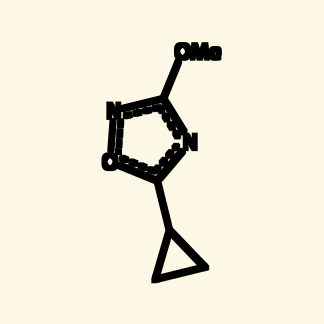 COc1noc(C2CC2)n1